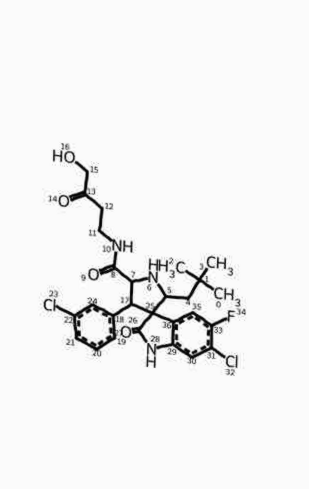 CC(C)(C)CC1NC(C(=O)NCCC(=O)CO)C(c2cccc(Cl)c2)C12C(=O)Nc1cc(Cl)c(F)cc12